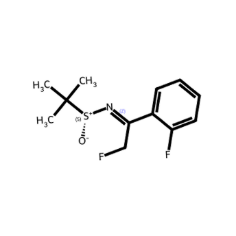 CC(C)(C)[S@@+]([O-])/N=C(\CF)c1ccccc1F